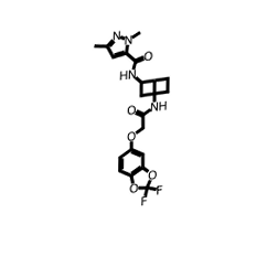 Cc1cc(C(=O)NC2CC3(NC(=O)COc4ccc5c(c4)OC(F)(F)O5)CCC23)n(C)n1